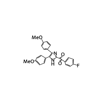 COc1ccc(-c2nc(S(=O)(=O)c3ccc(F)cc3)[nH]c2-c2ccc(OC)cc2)cc1